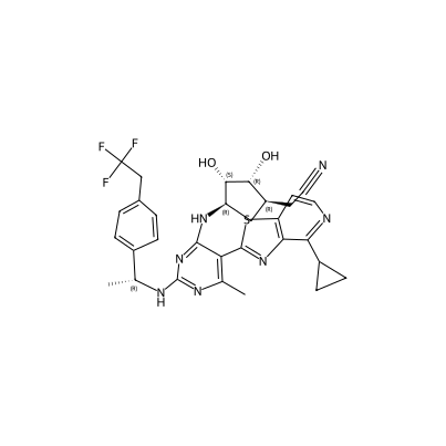 Cc1nc(N[C@H](C)c2ccc(CC(F)(F)F)cc2)nc(N[C@@H]2C[C@H](CC#N)[C@@H](O)[C@H]2O)c1-c1nc2c(C3CC3)nccc2s1